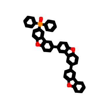 O=P(c1ccccc1)(c1ccccc1)c1ccc2oc3ccc(-c4ccc5oc6ccc(-c7ccc8oc9ccccc9c8c7)cc6c5c4)cc3c2c1